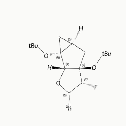 [3H][C@@H]1O[C@@H]2[C@@]3(OC(C)(C)C)C[C@H]3C[C@]2(OC(C)(C)C)[C@@H]1F